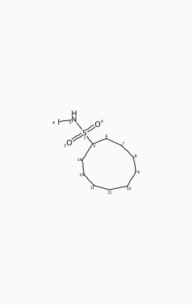 O=S(=O)(NI)C1CCCCCCCCC1